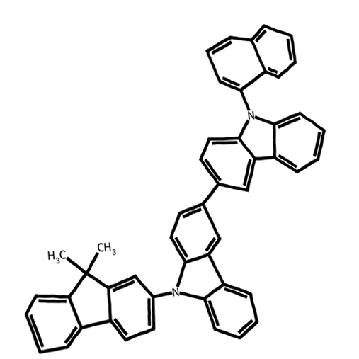 CC1(C)c2ccccc2-c2ccc(-n3c4ccccc4c4cc(-c5ccc6c(c5)c5ccccc5n6-c5cccc6ccccc56)ccc43)cc21